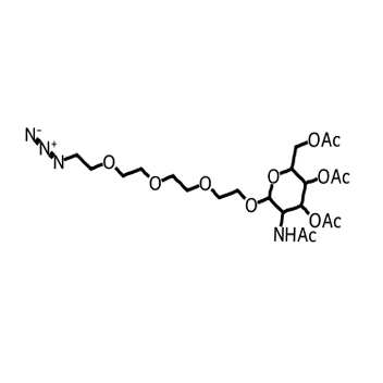 CC(=O)NC1C(OCCOCCOCCOCCN=[N+]=[N-])OC(COC(C)=O)C(OC(C)=O)C1OC(C)=O